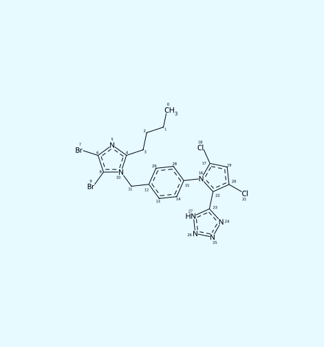 CCCCc1nc(Br)c(Br)n1Cc1ccc(-n2c(Cl)cc(Cl)c2-c2nnn[nH]2)cc1